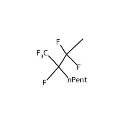 CCCCCC(F)(C(C)(F)F)C(F)(F)F